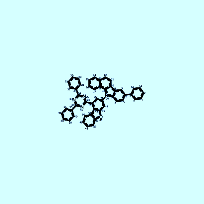 c1ccc(-c2ccc3c(c2)c2ccc4ccccc4c2n3-c2cc(-c3nc(-c4ccccc4)nc(-c4ccccc4)n3)c3c(c2)oc2ccccc23)cc1